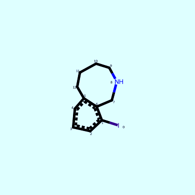 Ic1cccc2c1CNCCCC2